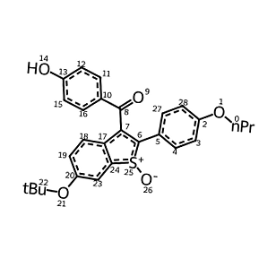 CCCOc1ccc(-c2c(C(=O)c3ccc(O)cc3)c3ccc(OC(C)(C)C)cc3[s+]2[O-])cc1